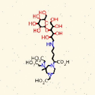 CC1(N(CC(=O)O)CC(=O)O)CN(CC(=O)O)CCN(C(CCCCNCC(O)C(O)C(OC2OC(CO)C(O)C(O)[C@@H]2O)C(O)CO)C(=O)O)C1